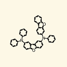 c1ccc(N(c2ccccc2)c2ccc3oc4ccc(N(c5ccccc5)c5ccc6c(c5)oc5ccccc56)cc4c3c2)cc1